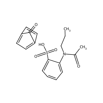 CCCN(C(C)=O)c1ccccc1S(=O)(=O)O.O=C1C2=CC=C1C=C2